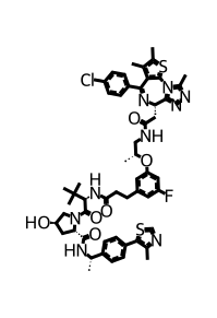 Cc1ncsc1-c1ccc([C@H](C)NC(=O)[C@@H]2C[C@@H](O)CN2C(=O)[C@@H](NC(=O)CCc2cc(F)cc(O[C@H](C)CNC(=O)C[C@@H]3N=C(c4ccc(Cl)cc4)c4c(sc(C)c4C)-n4c(C)nnc43)c2)C(C)(C)C)cc1